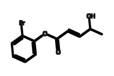 CC(O)C=CC(=O)Oc1ccccc1Br